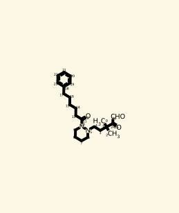 CC(C)(CCN1CCCCN1C(=O)CCCCCc1ccccc1)C(=O)C=O